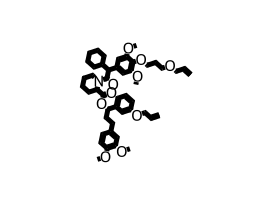 C=CCOCCCOc1c(OC)cc(C(C(=O)N2CCCCC2C(=O)OC(CCc2ccc(OC)c(OC)c2)c2cccc(OCC=C)c2)C2CCCCC2)cc1OC